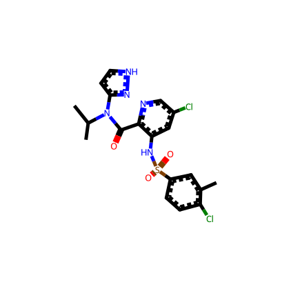 Cc1cc(S(=O)(=O)Nc2cc(Cl)cnc2C(=O)N(c2cc[nH]n2)C(C)C)ccc1Cl